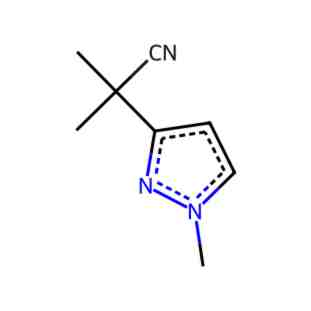 Cn1ccc(C(C)(C)C#N)n1